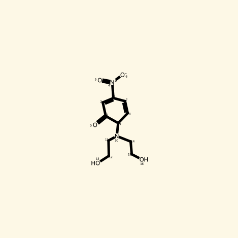 O=C1C=C([N+](=O)[O-])C=CC1N(CCO)CCO